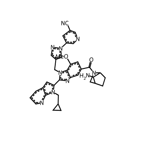 COc1cc(C(=O)N2CC3CCC2C3N)cc2nc(-c3cc4cccnc4n3CC3CC3)n(Cc3cnn(-c4cncc(C#N)c4)c3)c12